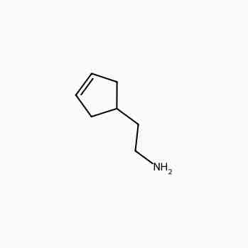 NCCC1CC=CC1